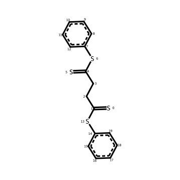 S=C(CCC(=S)Sc1ccccc1)Sc1ccccc1